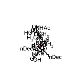 CCCCCCCCCCCCCCCC(=O)[C@@](O[C@@](C)(N)C(=O)N[C@H](CCC(=O)N(CC(C)O[C@H]1[C@H](O)[C@@H](CO)O[C@H](O)[C@@H]1NC(C)=O)C(C)C(=O)O)C(N)=O)(C(=O)C(CCCCCCCCCCCCCC)NCCO[PH](=O)O)[C@@H](O)CO